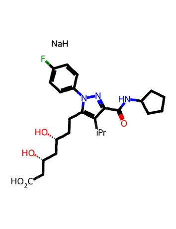 CC(C)c1c(C(=O)NC2CCCC2)nn(-c2ccc(F)cc2)c1CC[C@@H](O)C[C@@H](O)CC(=O)O.[NaH]